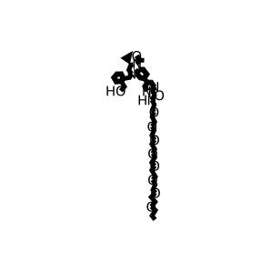 CCCOCCOCCOCCOCCOCCOCCOCCOCCNC(=O)c1ncc(-c2ccc3c(c2)N(Cc2ccccc2CO)C[C@H](C2CC2)N3C(C)=O)cn1